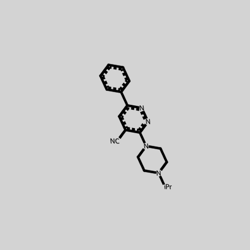 CC(C)N1CCN(c2nnc(-c3ccccc3)cc2C#N)CC1